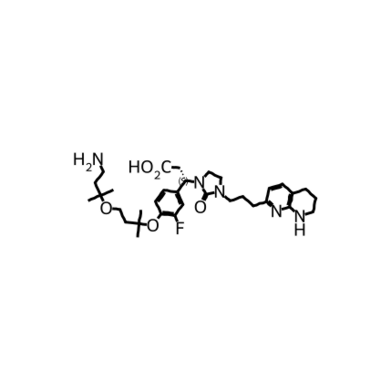 CC(C)(CCN)OCCC(C)(C)Oc1ccc([C@H](CC(=O)O)N2CCN(CCCc3ccc4c(n3)NCCC4)C2=O)cc1F